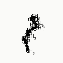 COc1cc2c(cc1OCCCOc1cc3c(cc1OC)C(=O)N1C=C(c4ccc(NC(=O)[C@H](C)NC(=O)[C@@H](NC(=O)CCCCCN5C(=O)CC(SC(C)(C)CC6CCCCCCCCCCCC6)C5=O)C(C)C)cc4)C[C@H]1C=N3)N=CC1CC(c3ccc(N4CCN(C)CC4)cc3)=CN1C2=O